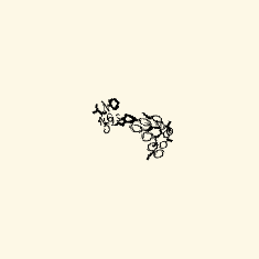 CC(=O)OC[C@H]1O[C@@H](Oc2cccc3sc(COC(=O)N(C)C(C(=O)N(C)c4ccccc4)C(C)C)cc23)[C@H](OC(C)=O)[C@@H](OC(C)=O)[C@H]1OC(C)=O